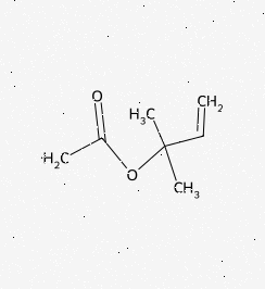 [CH2]C(=O)OC(C)(C)C=C